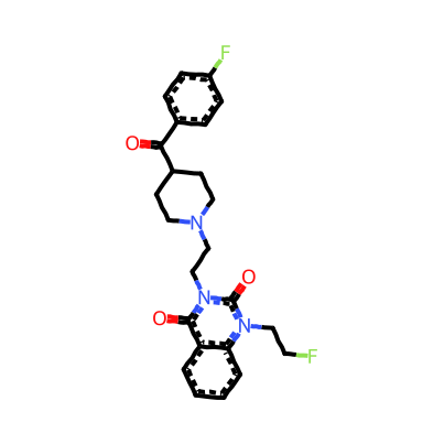 O=C(c1ccc(F)cc1)C1CCN(CCn2c(=O)c3ccccc3n(CCF)c2=O)CC1